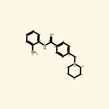 Nc1ccccc1NC(=O)c1ccc(CN2CCCCC2)cc1